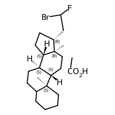 CC(=O)O.C[C@]12CC[C@H]3[C@@H](CCC4CCCC[C@@]43C)[C@@H]1CC[C@@H]2CC(F)Br